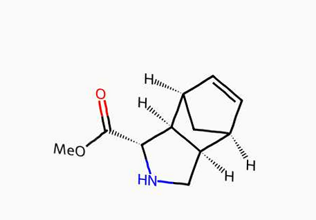 COC(=O)[C@H]1NC[C@H]2[C@@H]1[C@H]1C=C[C@@H]2C1